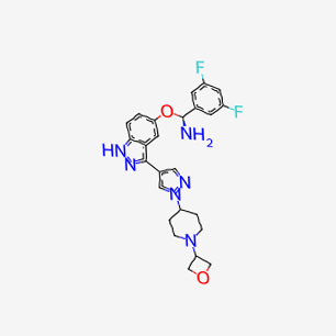 N[C@@H](Oc1ccc2[nH]nc(-c3cnn(C4CCN(C5COC5)CC4)c3)c2c1)c1cc(F)cc(F)c1